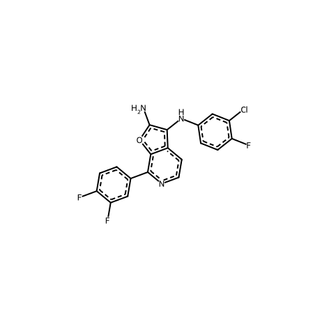 Nc1oc2c(-c3ccc(F)c(F)c3)nccc2c1Nc1ccc(F)c(Cl)c1